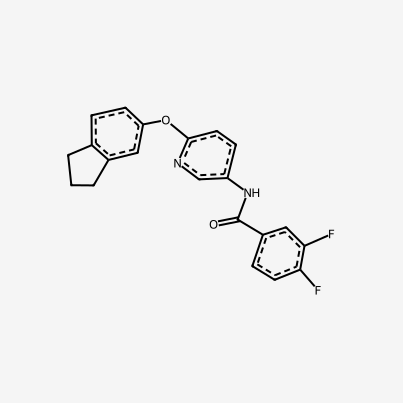 O=C(Nc1ccc(Oc2ccc3c(c2)CCC3)nc1)c1ccc(F)c(F)c1